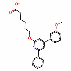 COc1cccc(-c2cc(OCCCCCC(=O)O)nc(-c3ccccc3)c2)c1